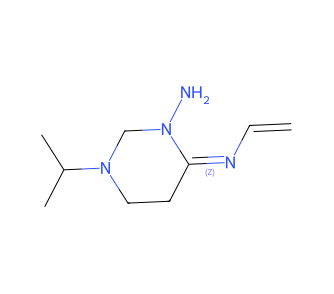 C=C/N=C1/CCN(C(C)C)CN1N